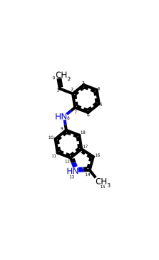 C=Cc1ccccc1Nc1ccc2[nH]c(C)cc2c1